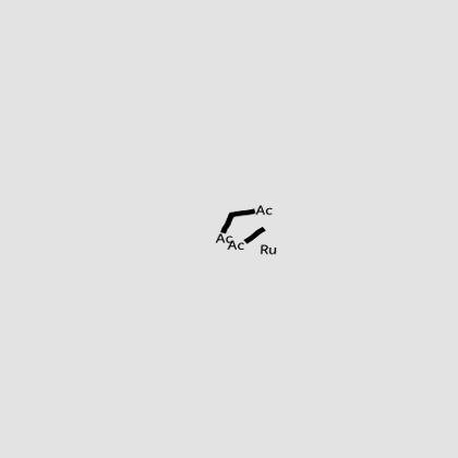 CC(=O)CC(C)=O.CC(C)=O.[Ru]